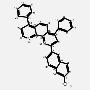 Cc1ccc2cc(-c3cc(-c4ccccc4)c4ccc5c(-c6ccccc6)ccnc5c4n3)ccc2c1